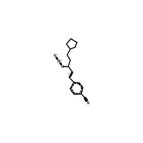 N#Cc1ccc(/C=C/C(CCC2CCCC2)N=[N+]=[N-])cc1